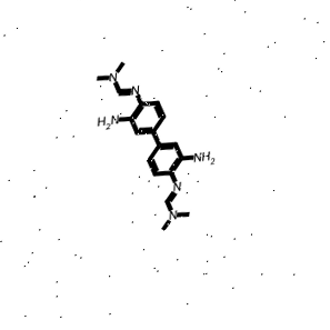 CN(C)/C=N/c1ccc(-c2ccc(/N=C/N(C)C)c(N)c2)cc1N